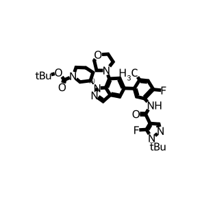 Cc1cc(F)c(NC(=O)c2cnn(C(C)(C)C)c2F)cc1-c1cc(N2CCOCC2)c2c(cnn2[C@H]2CCCN(C(=O)OC(C)(C)C)C2)c1